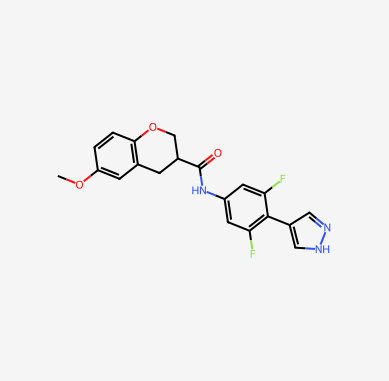 COc1ccc2c(c1)CC(C(=O)Nc1cc(F)c(-c3cn[nH]c3)c(F)c1)CO2